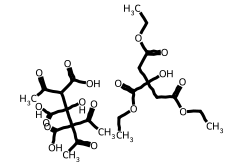 CC(=O)C(C(=O)O)C(O)(C(=O)O)C(C(C)=O)(C(C)=O)C(=O)O.CCOC(=O)CC(O)(CC(=O)OCC)C(=O)OCC